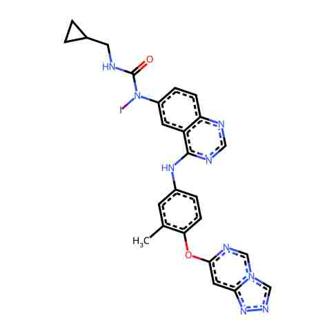 Cc1cc(Nc2ncnc3ccc(N(I)C(=O)NCC4CC4)cc23)ccc1Oc1cc2nncn2cn1